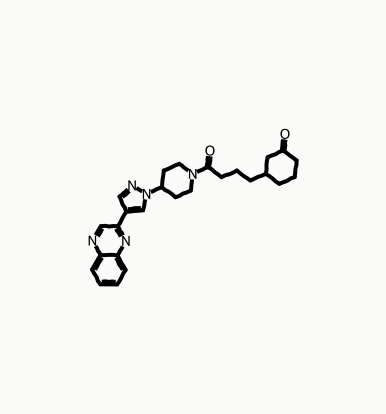 O=C1CCCC(CCCC(=O)N2CCC(n3cc(-c4cnc5ccccc5n4)cn3)CC2)C1